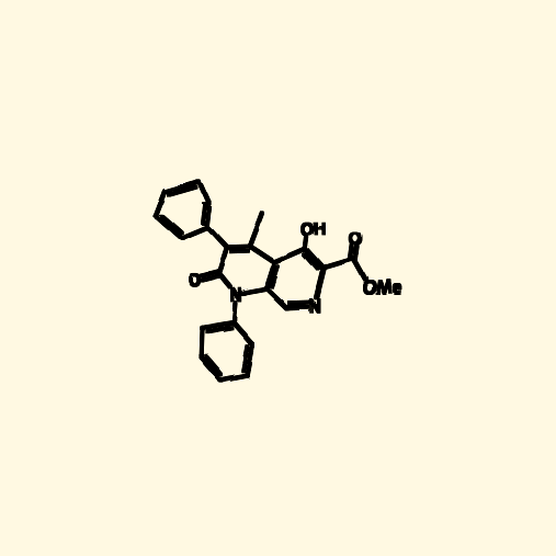 COC(=O)c1ncc2c(c(C)c(-c3ccccc3)c(=O)n2-c2ccccc2)c1O